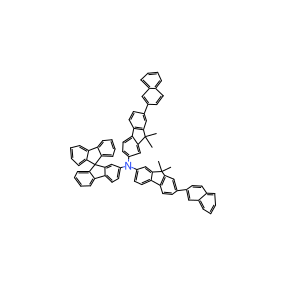 CC1(C)c2cc(-c3ccc4ccccc4c3)ccc2-c2ccc(N(c3ccc4c(c3)C(C)(C)c3cc(-c5ccc6ccccc6c5)ccc3-4)c3ccc4c(c3)C3(c5ccccc5-c5ccccc53)c3ccccc3-4)cc21